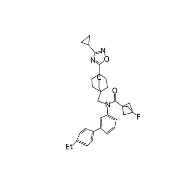 CCc1ccc(-c2cccc(N(CC34CCC(c5nc(C6CC6)no5)(CC3)CC4)C(=O)C34CC(F)(C3)C4)c2)cc1